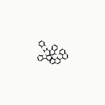 c1ccc2c3c(ccc2c1)-c1cccc2cccc(c12)N3c1ccc(-c2nc3ccccc3nc2-n2c3ccccc3c3ccccc32)c2ccccc12